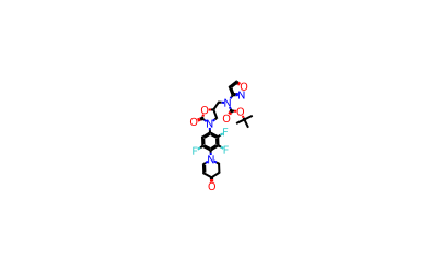 CC(C)(C)OC(=O)N(CC1CN(c2cc(F)c(N3C=CC(=O)CC3)c(F)c2F)C(=O)O1)c1ccon1